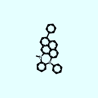 CN1c2ccccc2B(c2ccccc2)c2ccc3ccc4c(-c5ccccc5)ccc5cc1c2c3c54